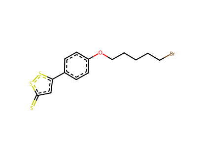 S=c1cc(-c2ccc(OCCCCCBr)cc2)ss1